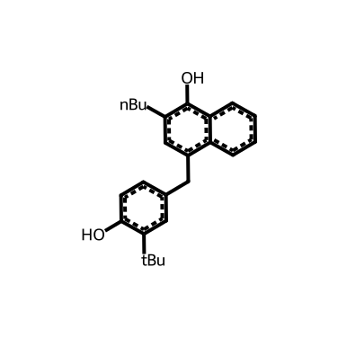 CCCCc1cc(Cc2ccc(O)c(C(C)(C)C)c2)c2ccccc2c1O